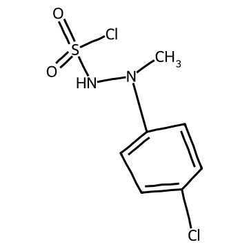 CN(NS(=O)(=O)Cl)c1ccc(Cl)cc1